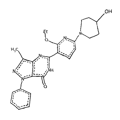 CCOc1nc(N2CCC(O)CC2)ccc1-c1nc2c(C)nn(-c3ccccc3)c2c(=O)[nH]1